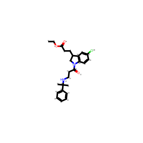 CCOC(=O)CCC1CN(C(=O)CCNC(C)(C)c2ccccc2)c2ccc(Cl)cc21